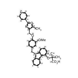 COc1cc(Cn2c3ccccc3c3c(OC(C)(C)C(=O)O)cccc32)ccc1OCc1nc(-c2ccncc2)oc1C